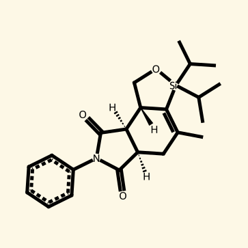 CC1=C2[C@@H](CO[Si]2(C(C)C)C(C)C)[C@@H]2C(=O)N(c3ccccc3)C(=O)[C@@H]2C1